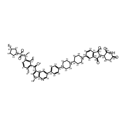 CN(c1ccc(F)c(C(=O)c2cn(C)c3ncc(-c4ccc(N5CCN(C6CCN(c7ccc8c(c7)C(=O)N(C7CCC(=O)NC7=O)C8=O)CC6)CC5)cc4)cc23)c1F)S(=O)(=O)N1CC[C@@H](F)C1